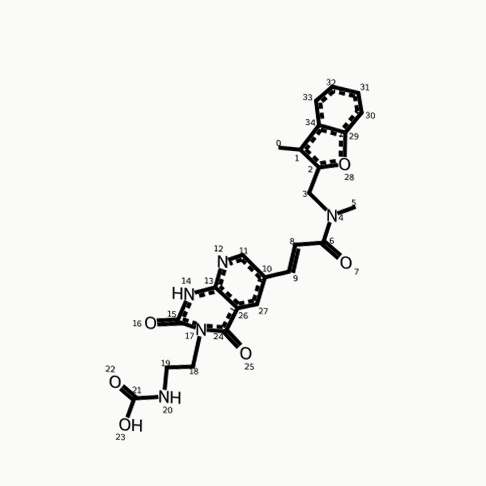 Cc1c(CN(C)C(=O)/C=C/c2cnc3[nH]c(=O)n(CCNC(=O)O)c(=O)c3c2)oc2ccccc12